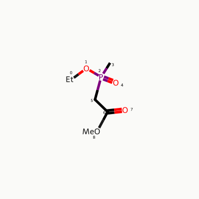 CCOP(C)(=O)CC(=O)OC